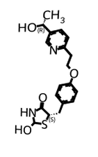 C[C@@H](O)c1ccc(CCOc2ccc(C[C@@H]3SC(O)NC3=O)cc2)nc1